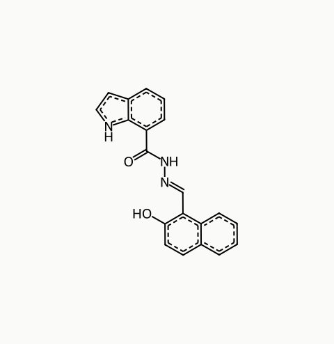 O=C(NN=Cc1c(O)ccc2ccccc12)c1cccc2cc[nH]c12